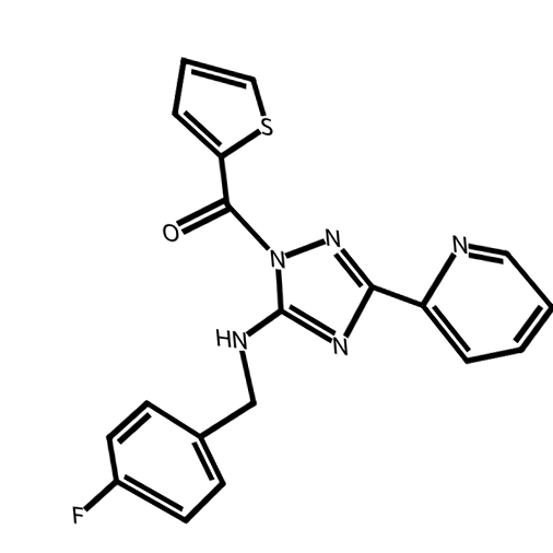 O=C(c1cccs1)n1nc(-c2ccccn2)nc1NCc1ccc(F)cc1